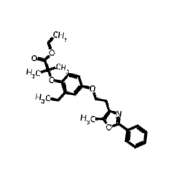 CCOC(=O)C(C)(C)Oc1ccc(OCCc2nc(-c3ccccc3)oc2C)cc1CC